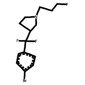 FCCCN1CCC(C(F)(F)c2ccc(Br)cc2)C1